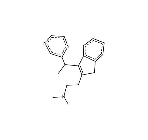 CC(C1=C(CCN(C)C)Cc2ccccc21)c1cnccn1